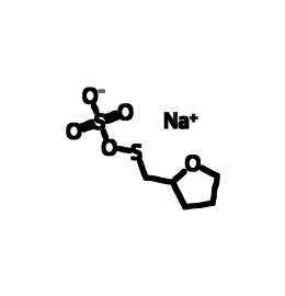 O=S(=O)([O-])OSCC1CCCO1.[Na+]